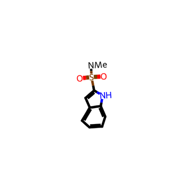 CNS(=O)(=O)c1cc2ccccc2[nH]1